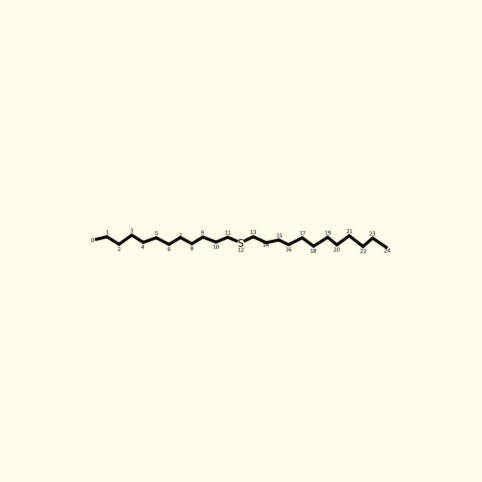 CCCCCCCCCCCCSCCCCCCCCCCCC